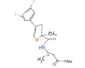 COC(=O)C[C@H](C)NC(=O)C1(C)CC(c2cc(F)cc(F)c2)=CO1